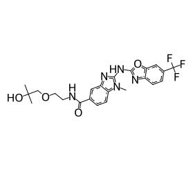 Cn1c(Nc2nc3ccc(C(F)(F)F)cc3o2)nc2cc(C(=O)NCCOCC(C)(C)O)ccc21